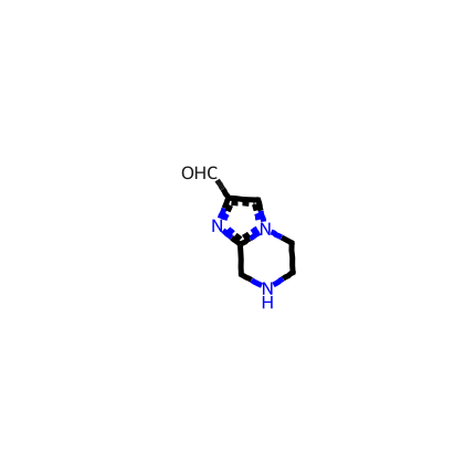 O=Cc1cn2c(n1)CNCC2